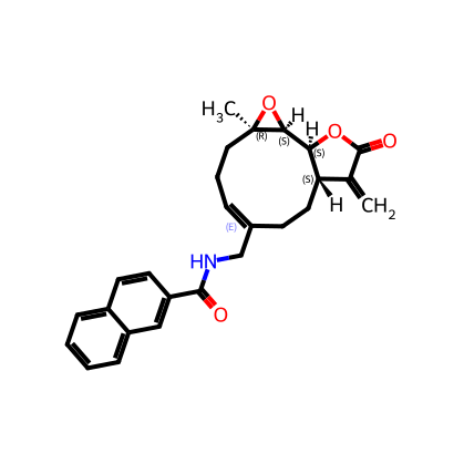 C=C1C(=O)O[C@H]2[C@H]1CC/C(CNC(=O)c1ccc3ccccc3c1)=C\CC[C@@]1(C)O[C@@H]21